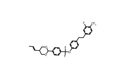 C/C=C/C1COC(c2ccc(C(F)(F)Oc3ccc(CCc4ccc(C(F)(F)F)c(F)c4)cc3)cc2)OC1